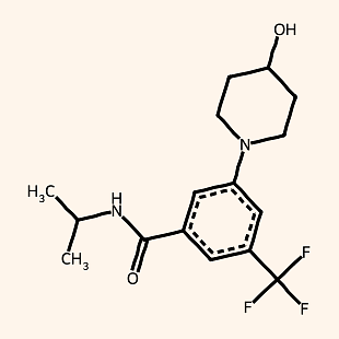 CC(C)NC(=O)c1cc(N2CCC(O)CC2)cc(C(F)(F)F)c1